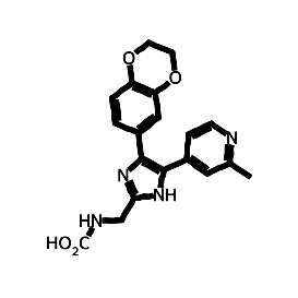 Cc1cc(-c2[nH]c(CNC(=O)O)nc2-c2ccc3c(c2)OCCO3)ccn1